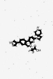 O=C(O)C(F)(F)F.c1cc2c(cc1-c1cn[nH]c1)COc1nc(N3CCC34CCNCC4)ccc1-2